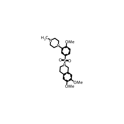 COc1cc2c(cc1OC)CN(S(=O)(=O)c1ccc(OC)c(N3CCN(C)CC3)c1)CC2